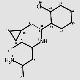 CC(N)CC(CI)N[C@H](CC1CC1)C1CCCCC1Cl